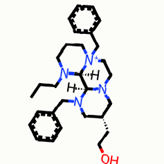 CCCN1CCC[N+]2(Cc3ccccc3)CCN3C[C@H](CCO)CN(Cc4ccccc4)[C@H]3[C@@H]12